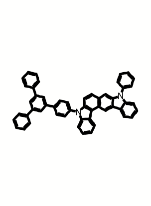 c1ccc(-c2cc(-c3ccccc3)cc(-c3ccc(-n4c5ccccc5c5c6cc7c8ccccc8n(-c8ccccc8)c7cc6ccc54)cc3)c2)cc1